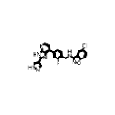 Fc1cc(-c2ccnc3[nH]c(-c4cn[nH]c4)nc23)ccc1CNc1noc2ccc(Cl)cc12